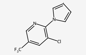 FC(F)(F)c1cnc(-n2c[c]cc2)c(Cl)c1